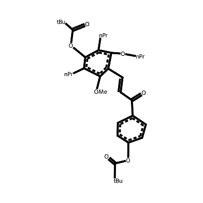 CCCOc1c(C=CC(=O)c2ccc(OC(=O)C(C)(C)C)cc2)c(OC)c(CCC)c(OC(=O)C(C)(C)C)c1CCC